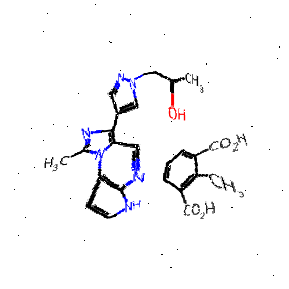 Cc1c(C(=O)O)cccc1C(=O)O.Cc1nc(-c2cnn(CC(C)O)c2)c2cnc3[nH]ccc3n12